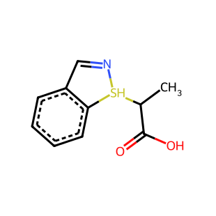 CC(C(=O)O)[SH]1N=Cc2ccccc21